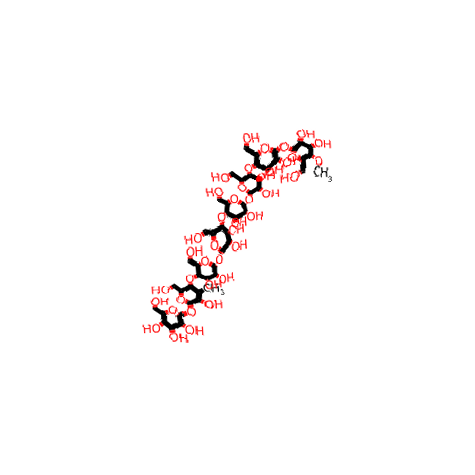 COC1C(CO)OC(OC2OC(CO)C(OC3C(CO)OC(OC4OC(CO)C(OC5C(CO)OC(OC6OC(CO)C(OC7C(CO)OC(OC8OC(CO)C(O)C(O)C8O)C(O)C7C)C(O)C6O)C(O)C5O)C(O)C4O)C(O)C3O)C(O)C2O)C(O)C1O